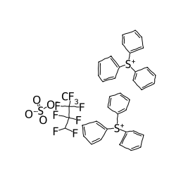 FC(F)C(F)(F)C(F)(F)C(F)(F)F.O=S(=O)([O-])[O-].c1ccc([S+](c2ccccc2)c2ccccc2)cc1.c1ccc([S+](c2ccccc2)c2ccccc2)cc1